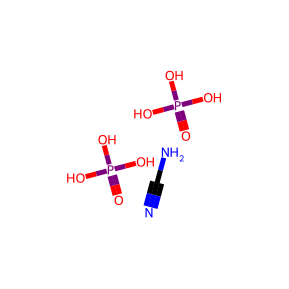 N#CN.O=P(O)(O)O.O=P(O)(O)O